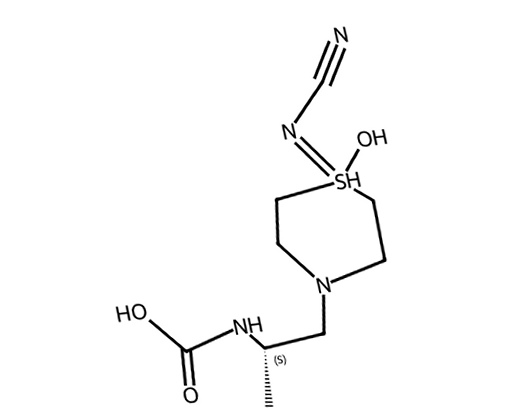 C[C@@H](CN1CC[SH](O)(=NC#N)CC1)NC(=O)O